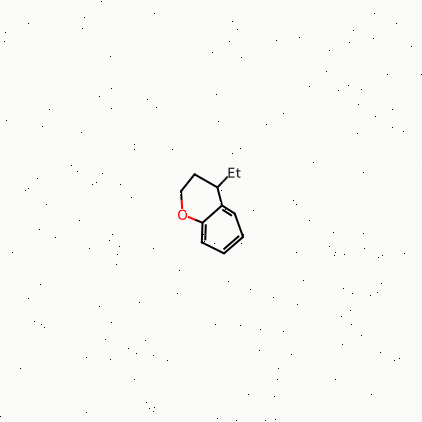 [CH2]CC1CCOc2ccccc21